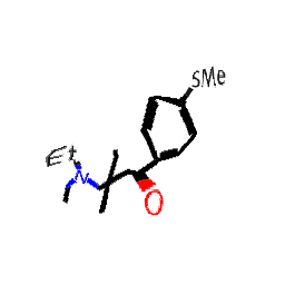 CCN(C)C(C)(C)C(=O)c1ccc(SC)cc1